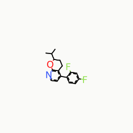 CC(C)C1CCc2c(-c3ccc(F)cc3F)ccnc2O1